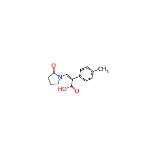 Cc1ccc(C(=CN2CCCC2=O)C(=O)O)cc1